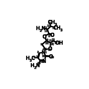 Cc1cn([C@H]2C[C@@H](OC(=O)C(N)C(C)C)[C@@H](CO)O2)c(=O)nc1N